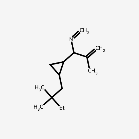 C=NC(C(=C)C)C1CC1CC(C)(C)CC